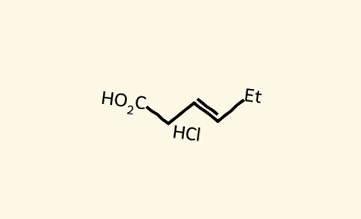 CC/C=C/CC(=O)O.Cl